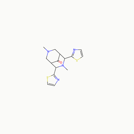 CN1CC2C(=O)C(C1)C(c1nccs1)N(C)C2c1nccs1